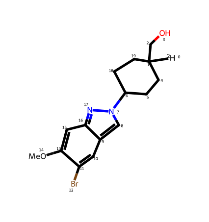 [2H]C1(CO)CCC(n2cc3cc(Br)c(OC)cc3n2)CC1